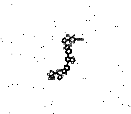 COC(=O)N(C)[C@H](C(=O)N1CCC[C@H]1c1nc2cc(-c3ccc(-c4ccc5nc([C@@H]6CCCN6C(=O)[C@H](C(C)C)N(C)C(=O)OC)[nH]c5c4)c4c3OCO4)ccc2[nH]1)C(C)C